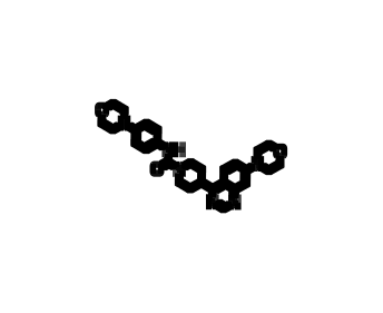 O=C(Nc1ccc(N2CCOCC2)cc1)N1CCC(c2ncnc3cc(N4CCOCC4)ccc23)CC1